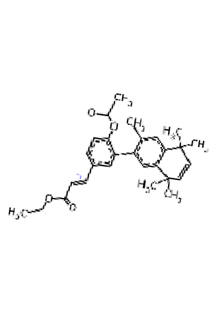 CCOC(=O)/C=C/c1ccc(OC(C)=O)c(-c2cc3c(cc2C)C(C)(C)C=CC3(C)C)c1